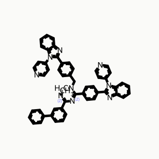 C/N=C(\N=C(\c1ccc(-c2nc3ccccc3n2-c2ccncc2)cc1)N(C)Cc1ccc(-c2nc3ccccc3n2-c2ccncc2)cc1)c1cccc(-c2ccccc2)c1